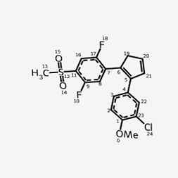 COc1ccc(C2=C(c3cc(F)c(S(C)(=O)=O)cc3F)CC=C2)cc1Cl